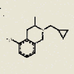 CC1Cc2c(N)cccc2CN1CC1CC1